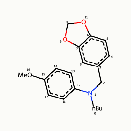 CCCCN(Cc1ccc2c(c1)OCO2)c1ccc(OC)cc1